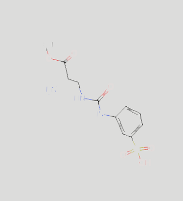 COC(=O)[C@@H](N)CNC(=O)Nc1cccc(S(=O)(=O)O)c1